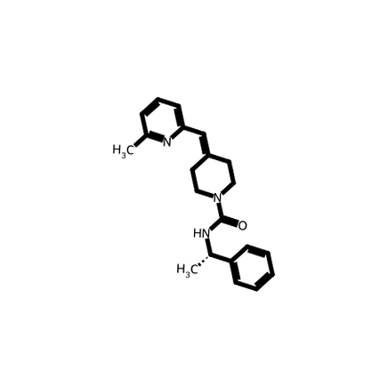 Cc1cccc(C=C2CCN(C(=O)N[C@@H](C)c3ccccc3)CC2)n1